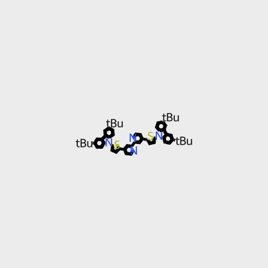 CC(C)(C)c1ccc2c(c1)c1cc(C(C)(C)C)ccc1n2-c1ccc(-c2ccnc(-c3cc(-c4ccc(-n5c6ccc(C(C)(C)C)cc6c6cc(C(C)(C)C)ccc65)s4)ccn3)c2)s1